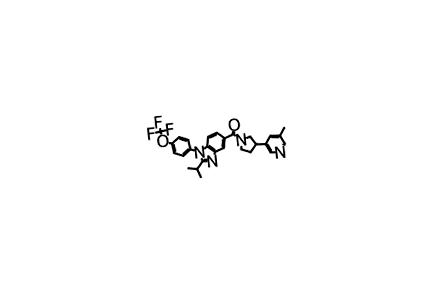 Cc1cncc(C2CCN(C(=O)c3ccc4c(c3)nc(C(C)C)n4-c3ccc(OC(F)(F)F)cc3)C2)c1